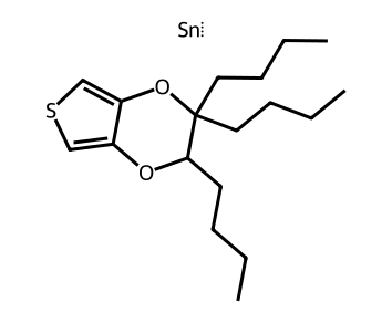 CCCCC1Oc2cscc2OC1(CCCC)CCCC.[Sn]